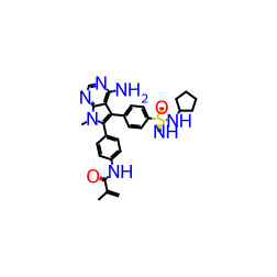 C=C(C)C(=O)Nc1ccc(-c2c(-c3ccc(S(=N)(=O)NC4CCCC4)cc3)c3c(N)ncnc3n2C)cc1